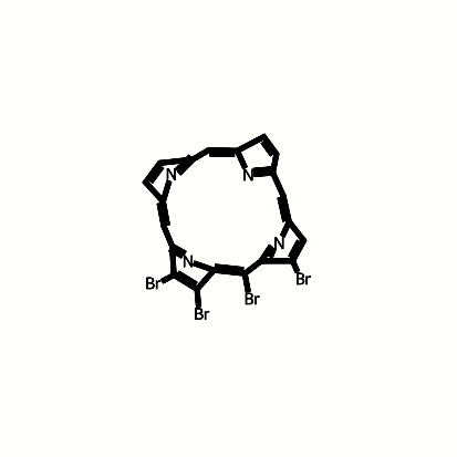 BrC1=CC2=CC3=NC(=CC4=NC(=CC5=NC(=C(Br)C1=N2)C(Br)=C5Br)C=C4)C=C3